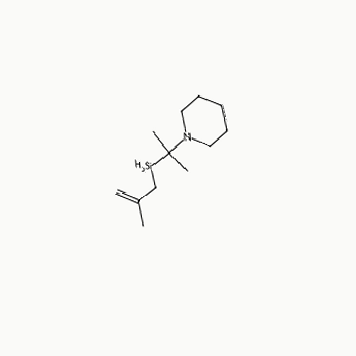 C=C(C)C[SiH2]C(C)(C)N1CCCCC1